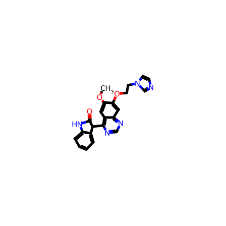 COc1cc2c(C3C(=O)Nc4ccccc43)ncnc2cc1OCCn1ccnc1